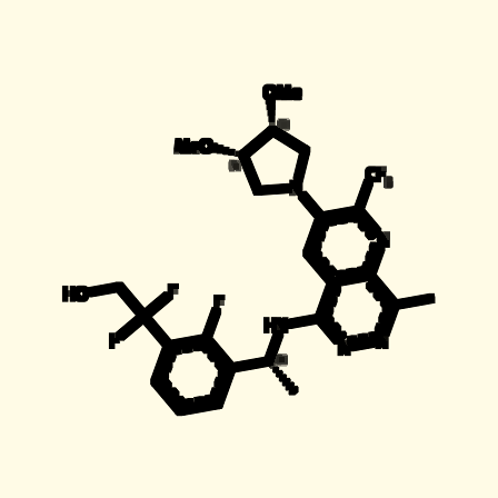 CO[C@H]1CN(c2cc3c(N[C@H](C)c4cccc(C(F)(F)CO)c4F)nnc(C)c3nc2C(F)(F)F)C[C@H]1OC